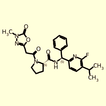 CC(C)c1ccc([C@@H](NC(=O)[C@@H]2CCCN2C(=O)Cc2nn(C)c(=O)o2)c2ccccc2)nc1F